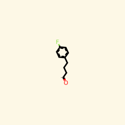 O=[C]CCCc1ccc(F)cc1